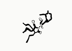 CC=CC1C(=O)N(S(=O)(=O)c2cccc(C)c2C)C(=O)C1(C=CC)C=CC